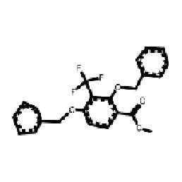 COC(=O)c1ccc(OCc2ccccc2)c(C(F)(F)F)c1OCc1ccccc1